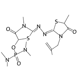 C=C(C)CN1C(=O)C(C)SC1=NN=C1SC(OP(=O)(N(C)C)N(C)C)C(=O)N1C